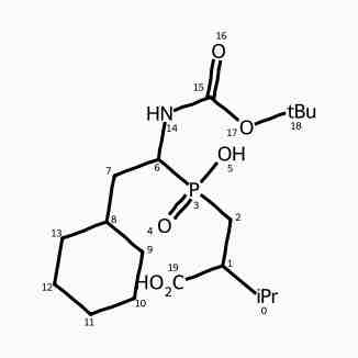 CC(C)C(CP(=O)(O)C(CC1CCCCC1)NC(=O)OC(C)(C)C)C(=O)O